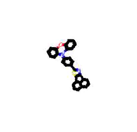 c1ccc2c(c1)Oc1ccccc1N2c1ccc(-c2nc3c(s2)-c2cccc4cccc-3c24)cc1